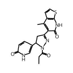 CCC(=O)N1N=C(c2c(C)c3ccsc3[nH]c2=O)CC1c1ccc(=O)[nH]c1